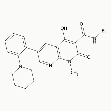 CCNC(=O)c1c(O)c2cc(-c3ccccc3N3CCCCC3)cnc2n(C)c1=O